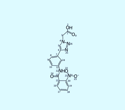 O=C(O)Cn1cc(-c2cccc(NC(=O)c3ccccc3[N+](=O)[O-])c2)nn1